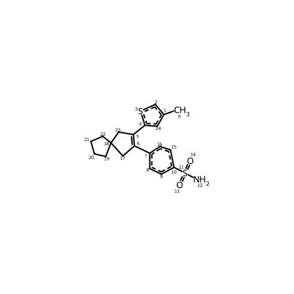 Cc1csc(C2=C(c3ccc(S(N)(=O)=O)cc3)CC3(CCCC3)C2)c1